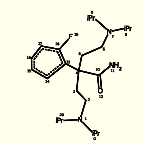 CC(C)N(CCC(CCN(C(C)C)C(C)C)(C(N)=O)c1ccccc1F)C(C)C